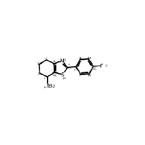 CC(C)(C)C1CCCc2nc(-c3ccc(F)cc3)sc21